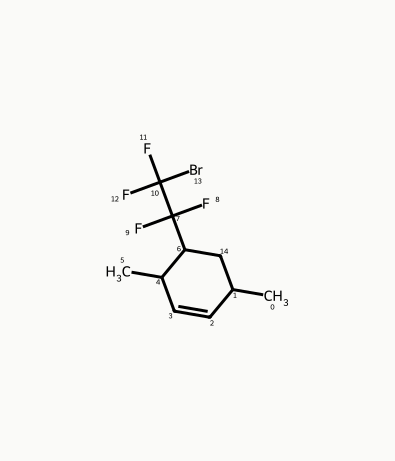 CC1C=CC(C)C(C(F)(F)C(F)(F)Br)C1